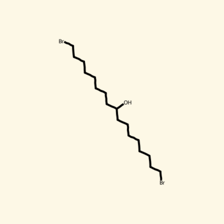 OC(CCCCCCCCBr)CCCCCCCCBr